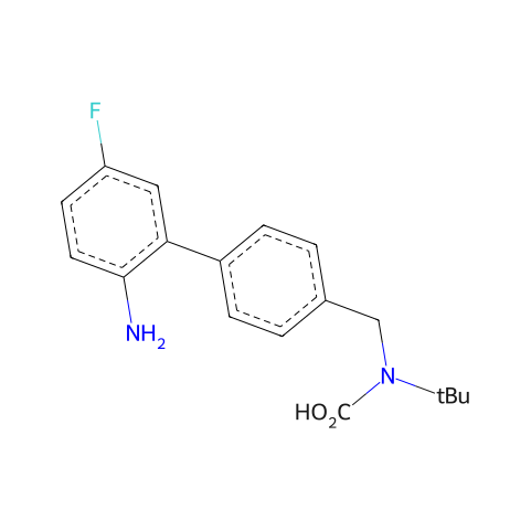 CC(C)(C)N(Cc1ccc(-c2cc(F)ccc2N)cc1)C(=O)O